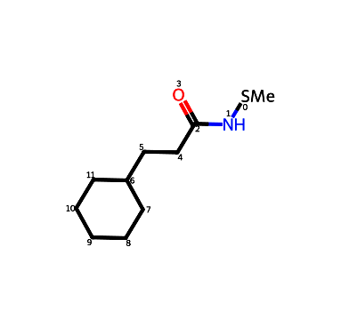 CSNC(=O)CCC1CCCCC1